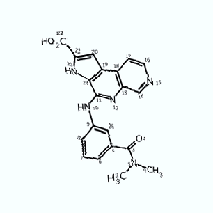 CN(C)C(=O)c1cccc(Nc2nc3cnccc3c3cc(C(=O)O)[nH]c23)c1